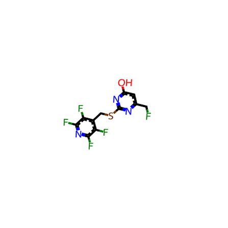 Oc1cc(CF)nc(SCc2c(F)c(F)nc(F)c2F)n1